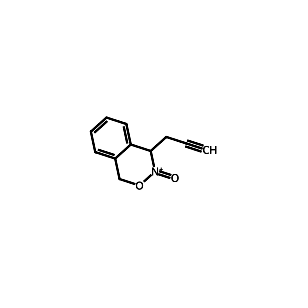 C#CCC1c2ccccc2CO[N+]1=O